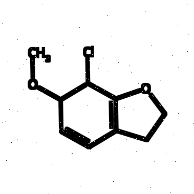 COC1C=CC2=C(OCC2)C1Cl